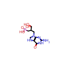 Nc1nc2c(c(=O)[nH]1)NCN2CC(CO)CP(=O)(O)O